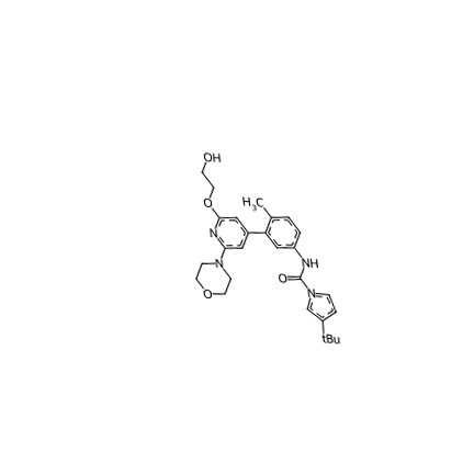 Cc1ccc(NC(=O)n2ccc(C(C)(C)C)c2)cc1-c1cc(OCCO)nc(N2CCOCC2)c1